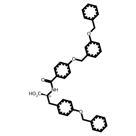 O=C(N[C@@H](Cc1ccc(OCc2ccccc2)cc1)C(=O)O)c1ccc(OCc2cccc(OCc3ccccc3)c2)cc1